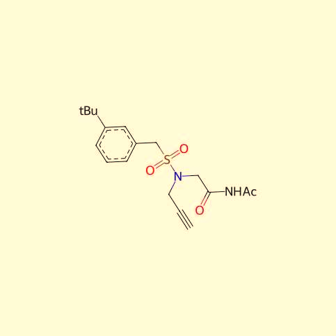 C#CCN(CC(=O)NC(C)=O)S(=O)(=O)Cc1cccc(C(C)(C)C)c1